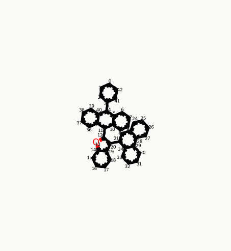 c1ccc(-c2c3ccccc3c(-c3oc4ccccc4c3-c3cc4ccccc4c4ccccc34)c3ccccc23)cc1